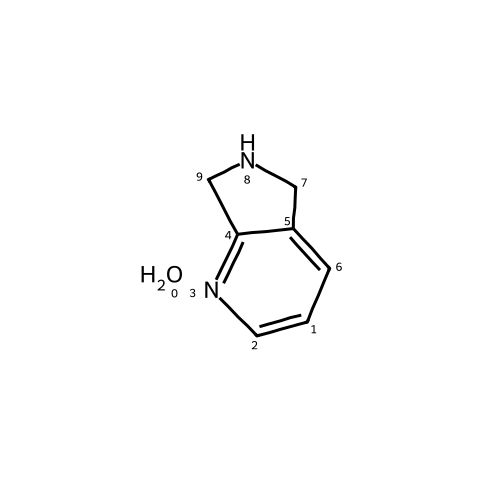 O.c1cnc2c(c1)CNC2